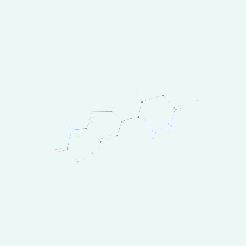 CC1CC(=O)NN=C1c1ccc2c(c1)SCC(=O)N2